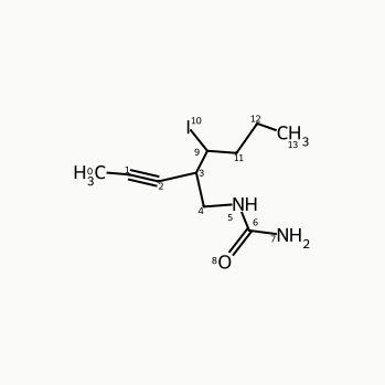 CC#CC(CNC(N)=O)C(I)CCC